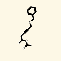 CC(=O)OC(C)CC#CCOCc1ccccc1